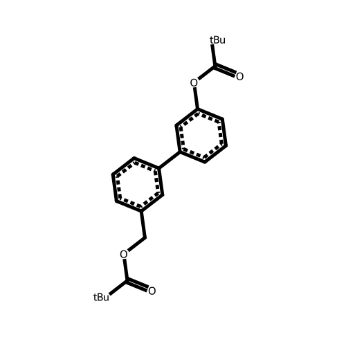 CC(C)(C)C(=O)OCc1cccc(-c2cccc(OC(=O)C(C)(C)C)c2)c1